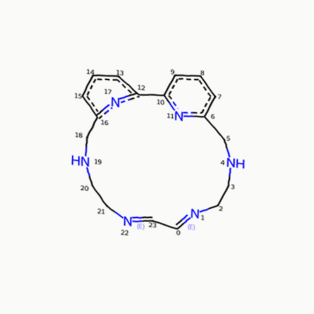 C1=N/CCNCc2cccc(n2)-c2cccc(n2)CNCC/N=C/1